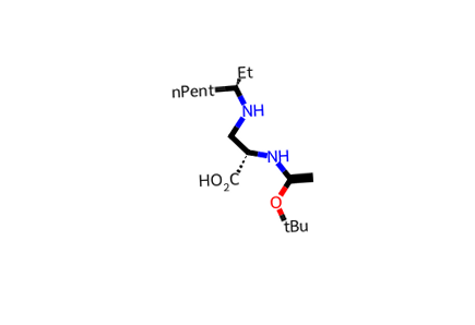 C=C(N[C@@H](CN[C@@H](CC)CCCCC)C(=O)O)OC(C)(C)C